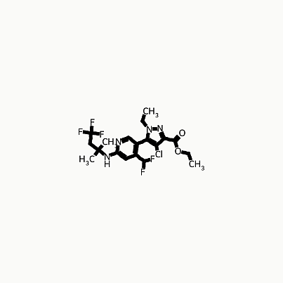 CCOC(=O)c1nn(CC)c(-c2cnc(NC(C)(C)CC(F)(F)F)cc2C(F)F)c1Cl